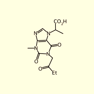 CCC(=O)Cn1c(=O)c2c(ncn2C(C)C(=O)O)n(C)c1=O